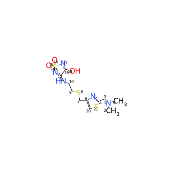 CN(C)Cc1nc(CSCCNC2=NS(=O)(=O)N=C2O)cs1